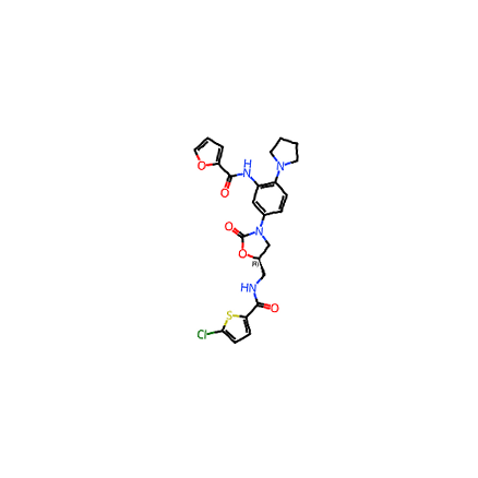 O=C(Nc1cc(N2C[C@@H](CNC(=O)c3ccc(Cl)s3)OC2=O)ccc1N1CCCC1)c1ccco1